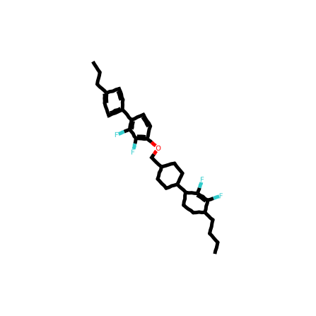 CCCCC1CCC(C2CCC(COc3ccc(-c4ccc(CCC)cc4)c(F)c3F)CC2)C(F)=C1F